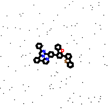 c1ccc(-c2cc(-c3ccccc3-c3cccnc3)nc(-c3ccc(-c4ccc(-c5cccc6c5sc5ccccc56)c5oc6ccccc6c45)cc3)n2)cc1